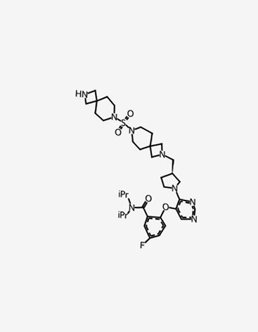 CC(C)N(C(=O)c1cc(F)ccc1Oc1cncnc1N1CC[C@@H](CN2CC3(CCN(S(=O)(=O)N4CCC5(CC4)CNC5)CC3)C2)C1)C(C)C